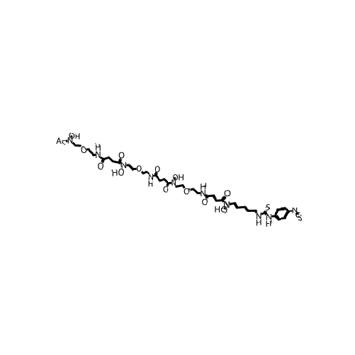 CC(=O)N(O)CCOCCNC(=O)CCC(=O)N(O)CCOCCNC(=O)CCC(=O)N(O)CCOCCNC(=O)CCC(=O)N(O)CCCCCNC(=S)Nc1ccc(N=C=S)cc1